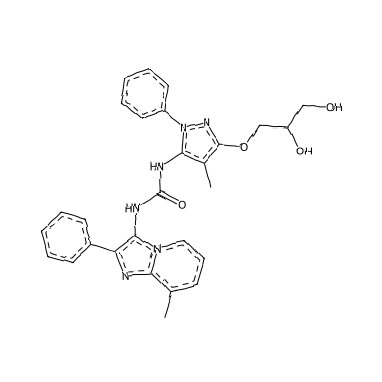 Cc1c(OCC(O)CO)nn(-c2ccccc2)c1NC(=O)Nc1c(-c2ccccc2)nc2c(C)cccn12